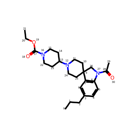 CCCc1ccc2c(c1)C1(CCN(C3CCN(C(=O)OCC)CC3)CC1)CN2C(C)=O